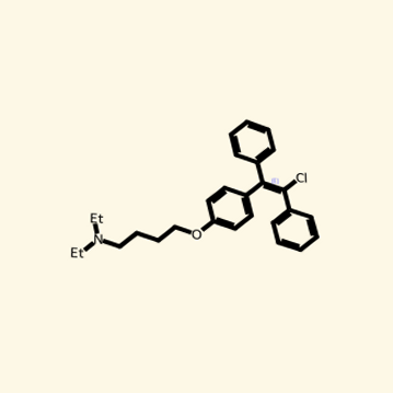 CCN(CC)CCCCOc1ccc(/C(=C(/Cl)c2ccccc2)c2ccccc2)cc1